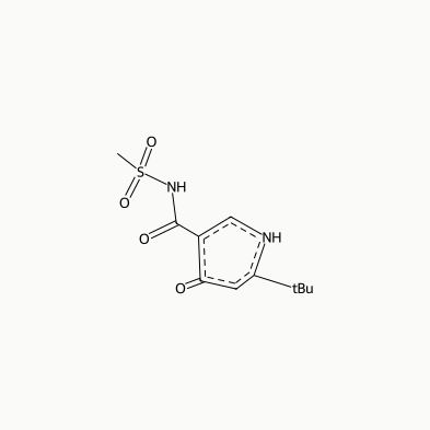 CC(C)(C)c1cc(=O)c(C(=O)NS(C)(=O)=O)c[nH]1